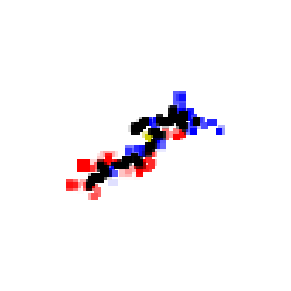 C#CCN(CCc1c[nH]c2nc(N)nc(O)c12)c1cnc(C(=O)N[C@@H](CCC(=O)N[C@@H](CCC(=O)O)C(=O)O)C(=O)O)s1